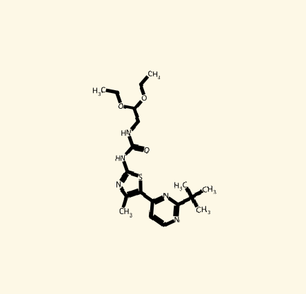 CCOC(CNC(=O)Nc1nc(C)c(-c2ccnc(C(C)(C)C)n2)s1)OCC